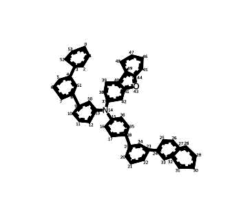 c1ccc(-c2cccc(-c3cccc(N(c4ccc(-c5cccc(-c6ccc7ccccc7c6)c5)cc4)c4ccc5c(c4)oc4ccccc45)c3)c2)cc1